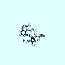 CC(C)c1nn(C(=O)NC(C)(C)C)c(=O)n1N.CCOCN(C(=O)CCl)c1c(C)cccc1CC